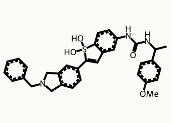 COc1ccc(C(C)NC(=O)Nc2ccc3c(c2)C=C(c2ccc4c(c2)CN(Cc2ccccc2)C4)S3(O)O)cc1